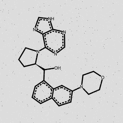 OC(c1cccc2ccc(N3CCOCC3)cc12)[C@H]1CCCN1c1ncnc2[nH]cnc12